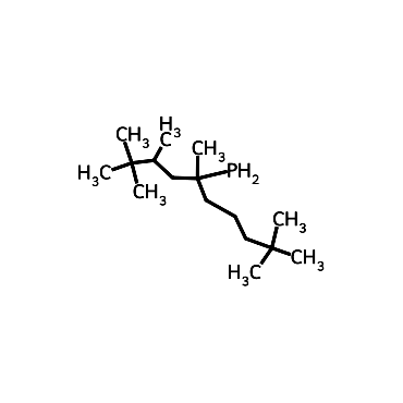 CC(CC(C)(P)CCCC(C)(C)C)C(C)(C)C